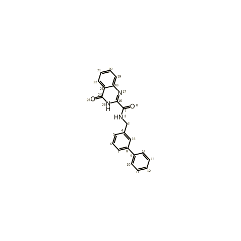 O=C(NCc1cccc(-c2ccccc2)c1)c1nc2ccccc2c(=O)[nH]1